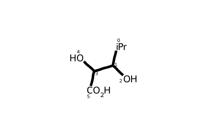 CC(C)C(O)C(O)C(=O)O